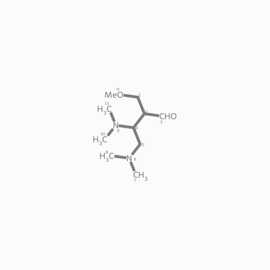 COCC(C=O)C(CN(C)C)N(C)C